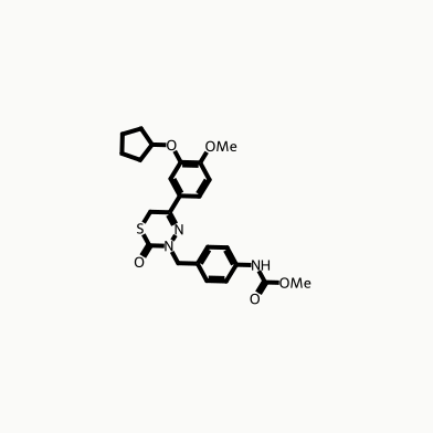 COC(=O)Nc1ccc(CN2N=C(c3ccc(OC)c(OC4CCCC4)c3)CSC2=O)cc1